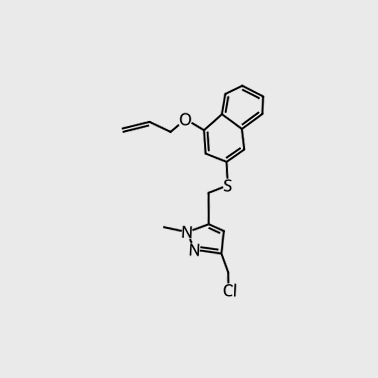 C=CCOc1cc(SCc2cc(CCl)nn2C)cc2ccccc12